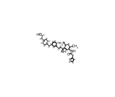 CC1=C(NC(=O)Cc2cccs2)C=C(C(=N)/C=C/c2cccc(CN3CCN(CCO)CC3)c2)C(N)C1